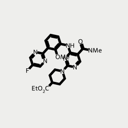 CCOC(=O)C1CCN(c2ncc(C(=O)NC)c(Nc3cccc(-c4ncc(F)cn4)c3OC)n2)CC1